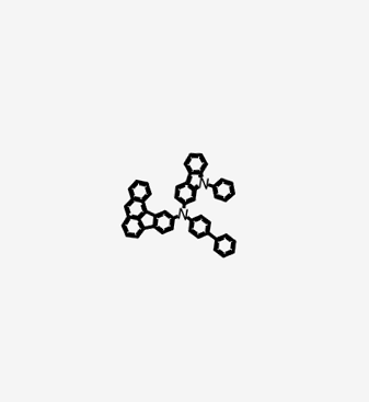 c1ccc(-c2ccc(N(c3ccc4c(c3)-c3c5ccccc5cc5cccc-4c35)c3ccc4c5ccccc5n(-c5ccccc5)c4c3)cc2)cc1